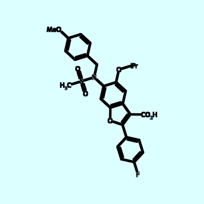 COc1ccc(CN(c2cc3oc(-c4ccc(F)cc4)c(C(=O)O)c3cc2OC(C)C)S(C)(=O)=O)cc1